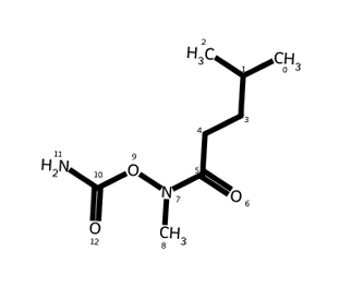 CC(C)CCC(=O)N(C)OC(N)=O